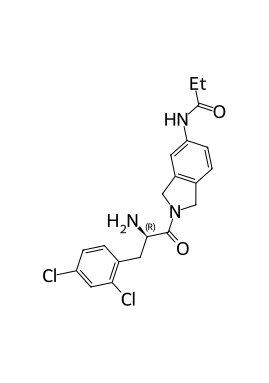 CCC(=O)Nc1ccc2c(c1)CN(C(=O)[C@H](N)Cc1ccc(Cl)cc1Cl)C2